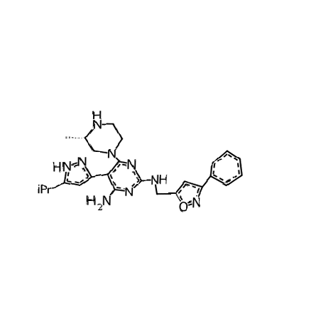 CC(C)c1cc(-c2c(N)nc(NCc3cc(-c4ccccc4)no3)nc2N2CCN[C@@H](C)C2)n[nH]1